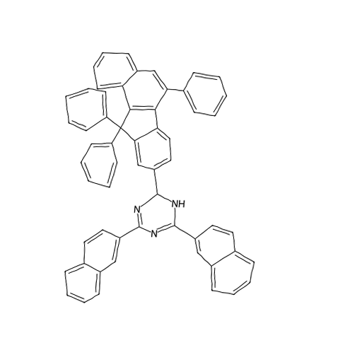 c1ccc(-c2cc3ccccc3c3c2-c2ccc(C4N=C(c5ccc6ccccc6c5)N=C(c5ccc6ccccc6c5)N4)cc2C3(c2ccccc2)c2ccccc2)cc1